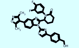 Cc1noc(C)c1-c1ccc2c(c1)nc(C1CCCC(=O)N1c1ccc(F)c(F)c1)n2-c1nc(-c2ccc(CO)cc2)cs1